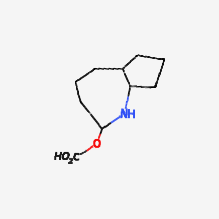 O=C(O)OC1CCCC2CCCC2N1